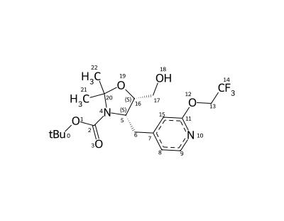 CC(C)(C)OC(=O)N1[C@@H](Cc2ccnc(OCC(F)(F)F)c2)[C@@H](CO)OC1(C)C